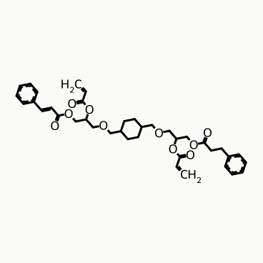 C=CC(=O)OC(COCC1CCC(COCC(COC(=O)CCc2ccccc2)OC(=O)C=C)CC1)COC(=O)/C=C/c1ccccc1